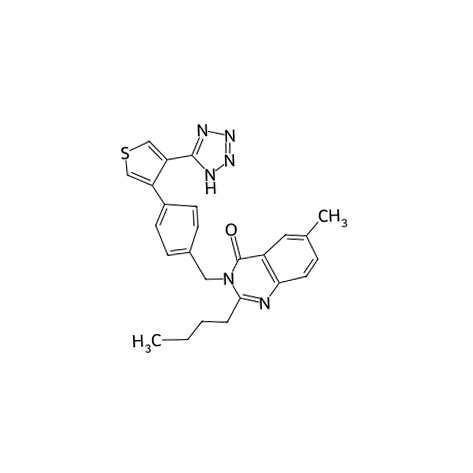 CCCCc1nc2ccc(C)cc2c(=O)n1Cc1ccc(-c2cscc2-c2nnn[nH]2)cc1